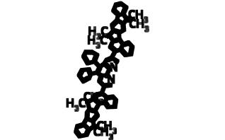 CC1(C)c2ccccc2-c2cc3c(cc21)-c1c(cc(-c2cnc4c(c2)c(-c2ccccc2)c(-c2ccccc2)c2cc(-c5cc6c(c7ccccc57)-c5cc7c(cc5C6(C)C)-c5ccccc5C7(C)C)cnc24)c2ccccc12)C3(C)C